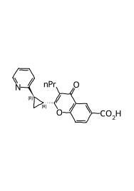 CCCc1c([C@@H]2C[C@H]2c2ccccn2)oc2ccc(C(=O)O)cc2c1=O